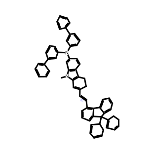 Cn1c2c(c3ccc(N(c4cccc(-c5ccccc5)c4)c4cccc(-c5ccccc5)c4)cc31)CCC(/C=C/c1cccc3c1-c1ccccc1C3(C1=CC=CCC1)C1C=CC=CC1)=C2